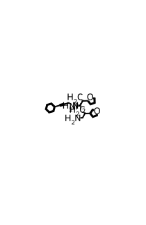 C=C(CN)c1ccco1.C=C(CN)c1ccoc1.NCC#Cc1ccccc1